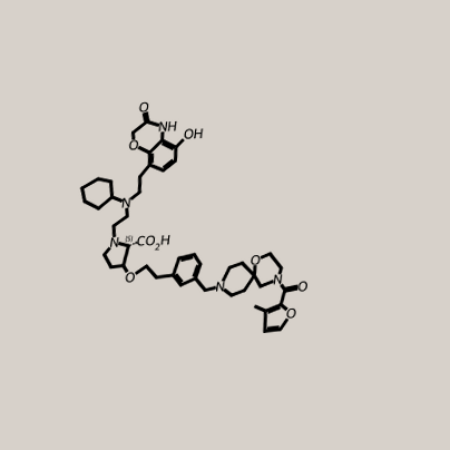 Cc1ccoc1C(=O)N1CCOC2(CCN(Cc3cccc(CCOC4CCN(CCN(CCc5ccc(O)c6c5OCC(=O)N6)C5CCCCC5)[C@@H]4C(=O)O)c3)CC2)C1